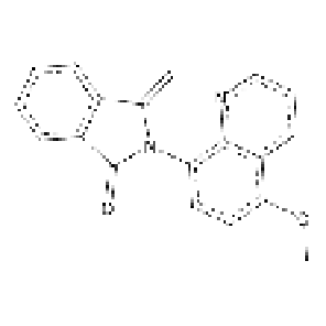 C=C1c2ccccc2C(=O)N1c1ccc(OC)c2cccnc12